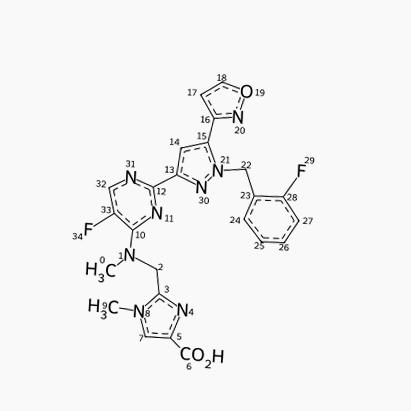 CN(Cc1nc(C(=O)O)cn1C)c1nc(-c2cc(-c3ccon3)n(Cc3ccccc3F)n2)ncc1F